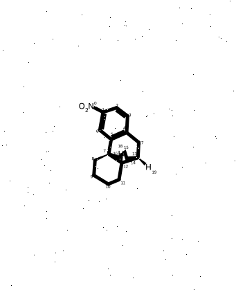 O=[N+]([O-])c1ccc2c(c1)[C@@]13CCCC[C@H]1[C@H](CCC3)C2